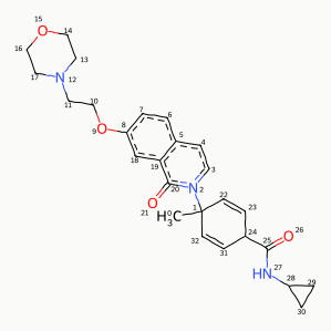 CC1(n2ccc3ccc(OCCN4CCOCC4)cc3c2=O)C=CC(C(=O)NC2CC2)C=C1